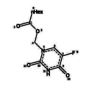 CCCCCCC(=O)OCn1cc(F)c(=O)[nH]c1=O